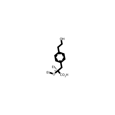 CCO[C@@](CC)(Cc1ccc(CCO)cc1)C(=O)O